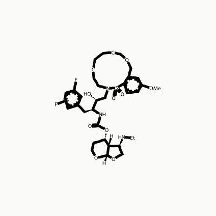 CCN[C@H]1CO[C@@H]2OCC[C@H](OC(=O)N[C@@H](Cc3cc(F)cc(F)c3)[C@H](O)CN3CCCCCCCOCc4cc(OC)ccc4S3(=O)=O)[C@@H]21